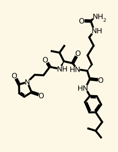 CC(C)Cc1ccc(NC(=O)[C@H](CCCCNC(N)=O)NC(=O)[C@@H](NC(=O)CCN2C(=O)C=CC2=O)C(C)C)cc1